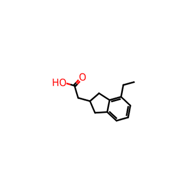 CCc1cccc2c1CC(CC(=O)O)C2